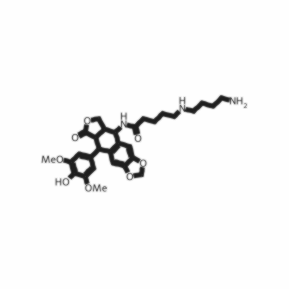 COc1cc(C2c3cc4c(cc3C(NC(=O)CCCCNCCCCN)C3COC(=O)C23)OCO4)cc(OC)c1O